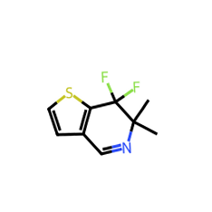 CC1(C)N=Cc2ccsc2C1(F)F